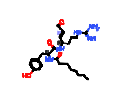 CCCCCCCC(=O)N[C@@H](Cc1ccc(O)cc1)C(=O)N[C@H](/C=C/C=O)CCCNC(=N)N